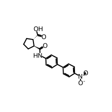 O=C(O)[C@H]1CCC[C@@H]1C(=O)Nc1ccc(-c2ccc([N+](=O)[O-])cc2)cc1